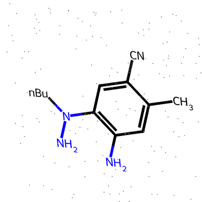 CCCCN(N)c1cc(C#N)c(C)cc1N